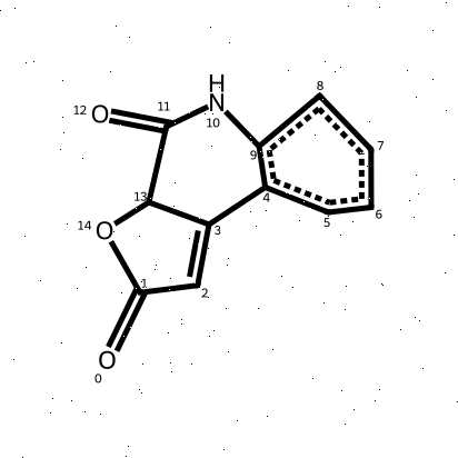 O=C1C=C2c3ccccc3NC(=O)C2O1